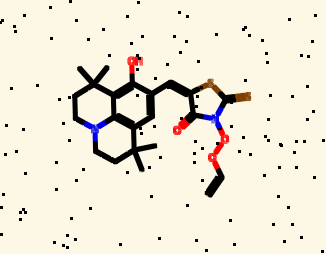 C=COON1C(=O)/C(=C\c2cc3c4c(c2O)C(C)(C)CCN4CCC3(C)C)SC1=S